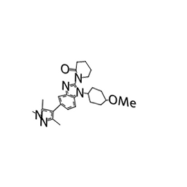 COC1CCC(n2c(N3CCCCC3=O)nc3cc(-c4c(C)nn(C)c4C)ccc32)CC1